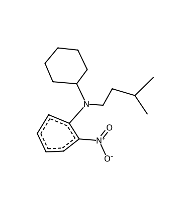 CC(C)CCN(c1ccccc1[N+](=O)[O-])C1CCCCC1